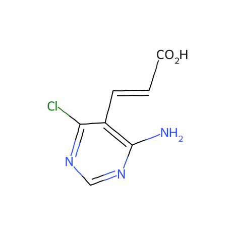 Nc1ncnc(Cl)c1/C=C/C(=O)O